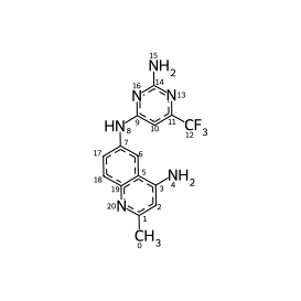 Cc1cc(N)c2cc(Nc3cc(C(F)(F)F)nc(N)n3)ccc2n1